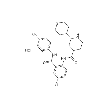 Cl.O=C(Nc1ccc(Cl)cn1)c1cc(Cl)ccc1NC(=O)C1CCNC(C2CCSCC2)C1